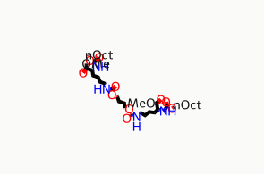 CCCCCCCCOC(=O)NC(CCCCNC(=O)OCCCCOC(=O)NCCCCC(NC(=O)OCCCCCCCC)C(=O)OC)C(=O)OC